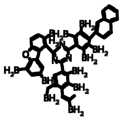 BCc1cc(-c2nc(-c3c(B)c(B)c(-c4ccc5ccccc5c4)c(B)c3B)nc(-c3c(B)ccc4oc5c(B)cc(B)cc5c34)n2)c(B)c(B)c1/C=C(/B)C